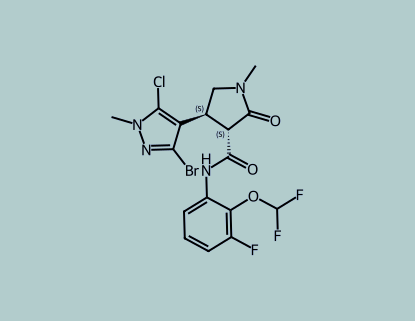 CN1C[C@H](c2c(Br)nn(C)c2Cl)[C@@H](C(=O)Nc2cccc(F)c2OC(F)F)C1=O